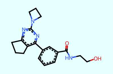 O=C(NCCO)c1cccc(-c2nc(N3CCC3)nc3c2CCC3)c1